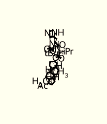 CC(=O)[C@H]1CC[C@H]2[C@@H]3CC[C@H]4C[C@H](OC(=O)[C@@H](NC(=O)[C@H](Cc5cnc[nH]5)NC(=O)OC(C)(C)C)C(C)C)CC[C@]4(C)[C@H]3CC[C@]12C